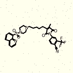 CC1=C(CCCCCN2CCN(S(=O)(=O)c3cccc4cccnc34)CC2)C(=O)N(c2ccc(C#N)c(C(F)(F)F)c2)C1=O